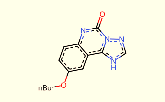 CCCCOc1ccc2nc(=O)n3nc[nH]c3c2c1